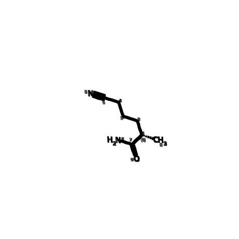 C[C@@H](C[CH]CC#N)C(N)=O